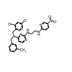 Cc1cccc(CN(Cc2ccc(Cl)cc2Cl)c2ccnc(NCCNc3ccc([N+](=O)[O-])cn3)n2)c1